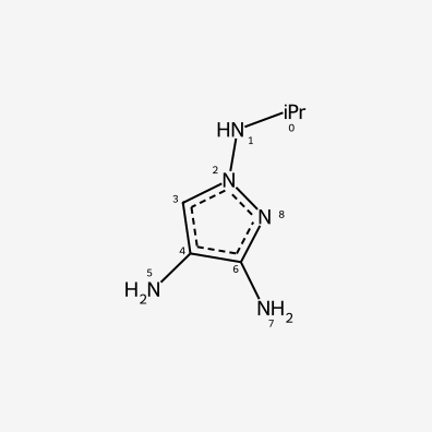 CC(C)Nn1cc(N)c(N)n1